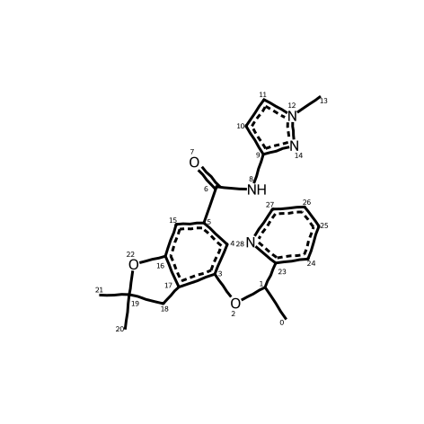 CC(Oc1cc(C(=O)Nc2ccn(C)n2)cc2c1CC(C)(C)O2)c1ccccn1